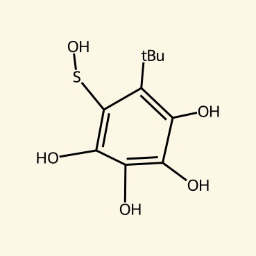 CC(C)(C)c1c(O)c(O)c(O)c(O)c1SO